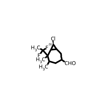 CC1CC(C=O)CC2C([C@H]2Cl)C1(C)C(C)(F)F